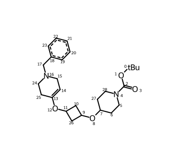 CC(C)(C)OC(=O)N1CCC(OC2CC(OC3=CCN(Cc4ccccc4)CC3)C2)CC1